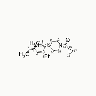 C\C=C(/C(=C\C(O)=C/C)CC)C1CCN(C(=O)C2CC2)CC1